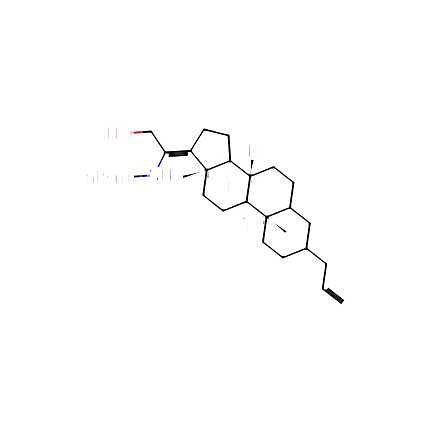 C=CCC1CC[C@@]2(C)C(CC[C@@H]3[C@@H]2CC[C@]2(C)C(=C(CO)NCCCCC)CC[C@@H]32)C1